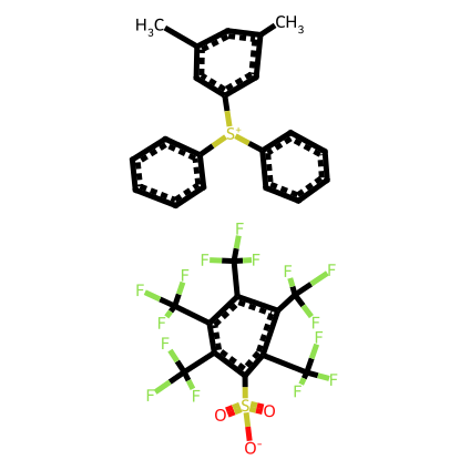 Cc1cc(C)cc([S+](c2ccccc2)c2ccccc2)c1.O=S(=O)([O-])c1c(C(F)(F)F)c(C(F)(F)F)c(C(F)(F)F)c(C(F)(F)F)c1C(F)(F)F